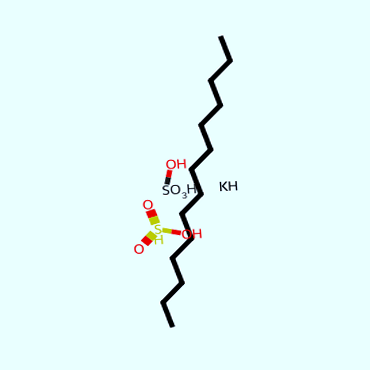 CCCCCCCCCCCCCC.O=S(=O)(O)O.O=[SH](=O)O.[KH]